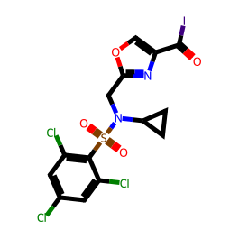 O=C(I)c1coc(CN(C2CC2)S(=O)(=O)c2c(Cl)cc(Cl)cc2Cl)n1